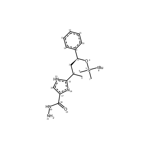 CC(C[C@H](O[Si](C)(C)C(C)(C)C)c1ccccc1)c1nc(C(=O)NN)c[nH]1